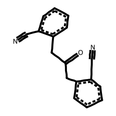 N#Cc1ccccc1CC(=O)Cc1ccccc1C#N